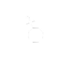 [NH]S(=O)(=O)C1CCCCCCC1